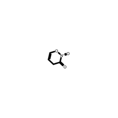 O=C1CC=CO[N+]1=O